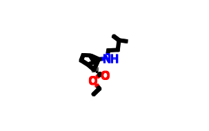 CCOC(=O)[C@@H]1C2CCC(C2)C1NCCC(C)C